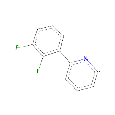 Fc1cccc(-c2ccc[c]n2)c1F